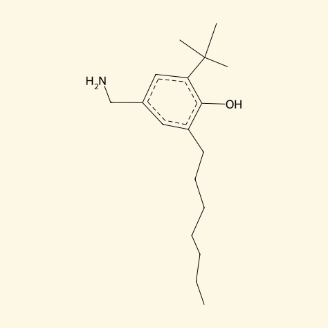 CCCCCCCc1cc(CN)cc(C(C)(C)C)c1O